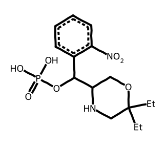 CCC1(CC)CNC(C(OP(=O)(O)O)c2ccccc2[N+](=O)[O-])CO1